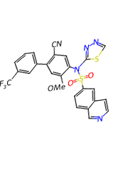 COc1cc(-c2cccc(C(F)(F)F)c2)c(C#N)cc1N(c1nncs1)S(=O)(=O)c1ccc2cnccc2c1